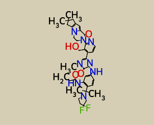 C=CC(=O)Nc1cc(Nc2nc(-c3ccnc(N4CCn5c(cc6c5CC(C)(C)C6)C4=O)c3CO)cn(C)c2=O)ccc1C(C)(C)N1CCC(F)(F)C1